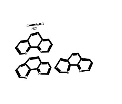 Cl.[Cl][Ru][Cl].c1cnc2c(c1)ccc1cccnc12.c1cnc2c(c1)ccc1cccnc12.c1cnc2c(c1)ccc1cccnc12